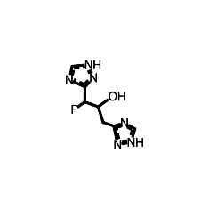 OC(Cc1nc[nH]n1)C(F)c1nc[nH]n1